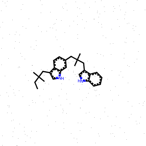 CCC(C)(C)Cc1c[nH]c2cc(CC(C)(C)Cc3c[nH]c4ccccc34)ccc12